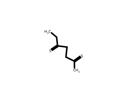 [CH2]CC(=S)CCC(C)=S